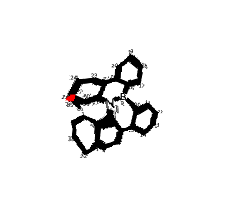 C1=Cc2c(ccc3c2N2B(c4ccccc4-3)c3ccccc3-c3ccc4ccccc4c32)CC1